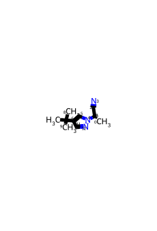 C[C@H](C#N)n1cc(C(C)(C)C)cn1